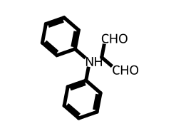 O=CCC=O.c1ccc(Nc2ccccc2)cc1